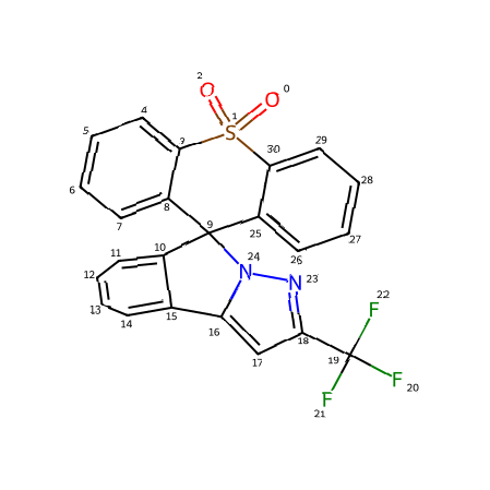 O=S1(=O)c2ccccc2C2(c3ccccc3-c3cc(C(F)(F)F)nn32)c2ccccc21